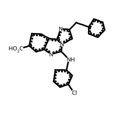 O=C(O)c1ccc2c(c1)nc(Nc1cccc(Cl)c1)n1cc(Cc3ccccc3)nc21